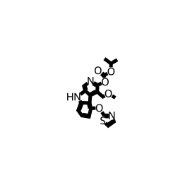 COCc1c(OC(=O)OC(C)C)ncc2[nH]c3cccc(Oc4nccs4)c3c12